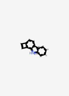 C1=Cc2c1ccc1c2[nH]c2ccccc21